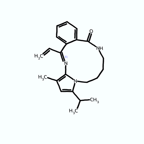 C=C/C1=N\c2c(C)cc(C(C)C)n2CCCCNC(=O)c2ccccc21